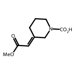 COC(=O)C=C1CCCN(C(=O)O)C1